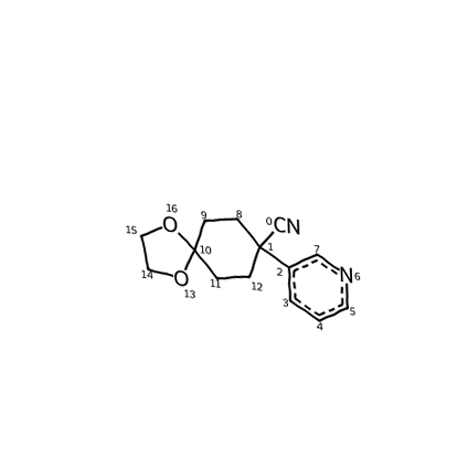 N#CC1(c2cccnc2)CCC2(CC1)OCCO2